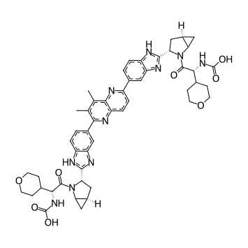 Cc1c(-c2ccc3[nH]c([C@@H]4C[C@H]5CC5N4C(=O)[C@H](NC(=O)O)C4CCOCC4)nc3c2)nc2ccc(-c3ccc4[nH]c([C@@H]5C[C@H]6CC6N5C(=O)[C@H](NC(=O)O)C5CCOCC5)nc4c3)nc2c1C